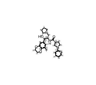 O=C(N[C@H](CN1CCCC1)[C@H](O)c1cc(F)c2c(c1)OCCO2)[C@H]1CCN(c2ccccn2)C1